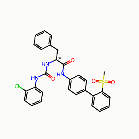 CS(=O)(=O)c1ccccc1-c1ccc(NC(=O)[C@H](Cc2ccccc2)NC(=O)Nc2ccccc2Cl)cc1